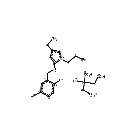 CC(C)(C)CCn1nc(CN)cc1OCc1cc(F)ccc1F.O=C(O)CC(O)(CC(=O)O)C(=O)O